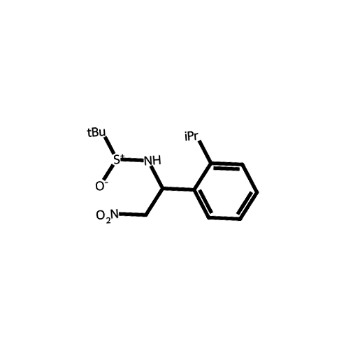 CC(C)c1ccccc1C(C[N+](=O)[O-])N[S+]([O-])C(C)(C)C